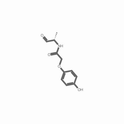 C[C@@H]([C]=O)NC(=O)COc1ccc(O)cc1